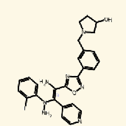 N/C(=C(/c1ccncc1)N(N)c1ccccc1F)c1nc(-c2cccc(CN3CCC(O)C3)c2)no1